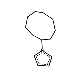 c1ccn(C2CCCCCCCC2)c1